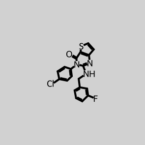 O=c1c2sccc2nc(NCc2cccc(F)c2)n1-c1ccc(Cl)cc1